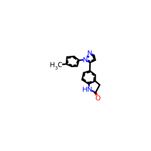 Cc1ccc(-n2nccc2-c2ccc3c(c2)CC(=O)N3)cc1